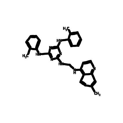 Cc1ccc2c(NCNc3nc(Nc4ccccc4C)nc(Nc4ccccc4C)n3)ccnc2c1